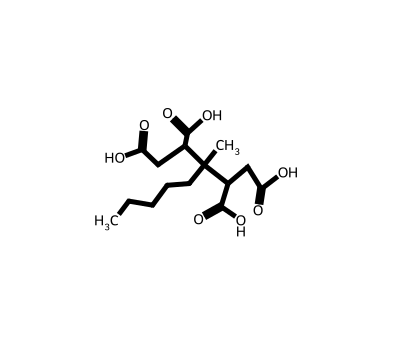 CCCCCC(C)(C(CC(=O)O)C(=O)O)C(CC(=O)O)C(=O)O